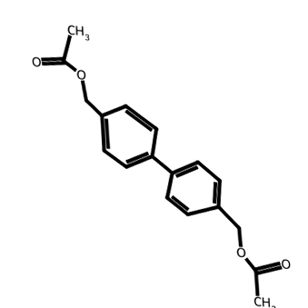 CC(=O)OCc1ccc(-c2ccc(COC(C)=O)cc2)cc1